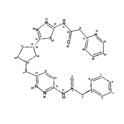 O=C(Cc1ccccc1)Nc1ccc(CC2CC[C@H](c3nnc(NC(=O)Cc4ccccn4)s3)C2)nn1